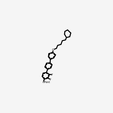 CCCCCc1ccc(-c2ccc(-c3ccc(OCCCCCC4CCCCC4)cc3)cc2)c(F)c1F